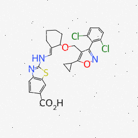 O=C(O)c1ccc2nc(N/C=C3\CCCCC3OCc3c(-c4c(Cl)cccc4Cl)noc3C3CC3)sc2c1